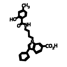 Cc1ccc(C(=O)NCCCCn2cc(-c3ccccc3)c3ccc(C(=O)O)cc32)c(O)c1